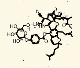 COC(=O)/C(C)=C\CC1(O)C(=O)C2CC(C(C)C)C13Oc1c(CC=C(C)C)c4c(c(OC(=O)c5ccc(O[C@@H]6O[C@H](CO)[C@@H](O)[C@H](O)[C@H]6O)cc5)c1C1=C3C2C(C#N)=C(N)N1)C=CC(C)(CCC=C(C)C)O4